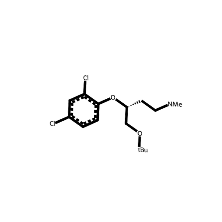 CNCC[C@H](COC(C)(C)C)Oc1ccc(Cl)cc1Cl